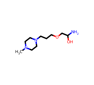 CN1CCN(CCCOCC(N)O)CC1